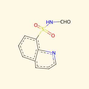 O=CNS(=O)(=O)c1cccc2cccnc12